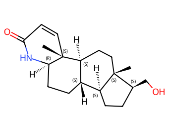 C[C@]12C=CC(=O)N[C@@H]1CC[C@@H]1[C@@H]2CC[C@]2(C)[C@@H](CO)CC[C@@H]12